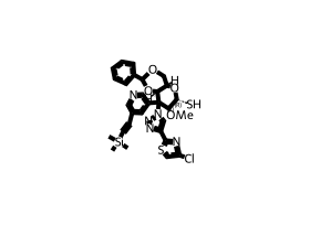 CO[C@H]1[C@@H](S)O[C@@H]2COC(c3ccccc3)O[C@@H]2C1(c1cncc(C#C[Si](C)(C)C)c1)n1cc(-c2nc(Cl)cs2)nn1